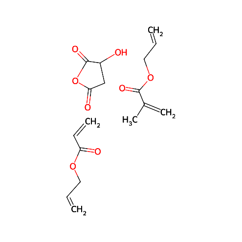 C=CCOC(=O)C(=C)C.C=CCOC(=O)C=C.O=C1CC(O)C(=O)O1